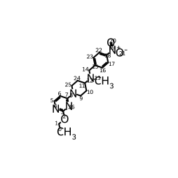 CCOc1nccc(N2CCC(N(C)Cc3ccc([N+](=O)[O-])cc3)CC2)n1